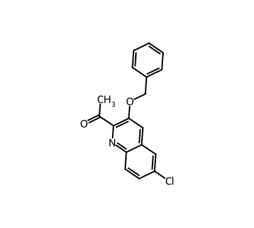 CC(=O)c1nc2ccc(Cl)cc2cc1OCc1ccccc1